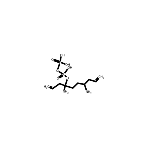 C=CCC(N)CCC(N)(CC=C)OP(=O)(O)OP(=O)(O)O